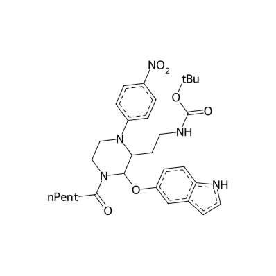 CCCCCC(=O)N1CCN(c2ccc([N+](=O)[O-])cc2)C(CCNC(=O)OC(C)(C)C)C1Oc1ccc2[nH]ccc2c1